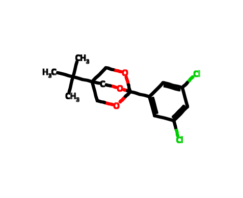 CC(C)(C)C12COC(c3cc(Cl)cc(Cl)c3)(OC1)OC2